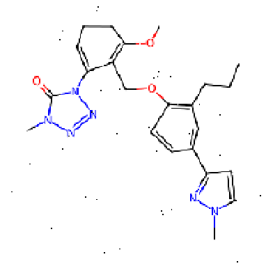 CCCc1cc(-c2ccn(C)n2)ccc1OCC1=C(OC)CCC=C1n1nnn(C)c1=O